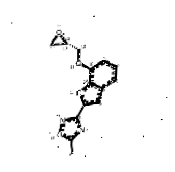 Cc1nc(-c2cc3cccc(OC[C@@H]4CO4)c3o2)no1